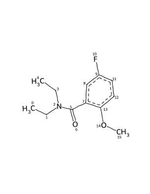 CCN(CC)C(=O)c1cc(F)ccc1OC